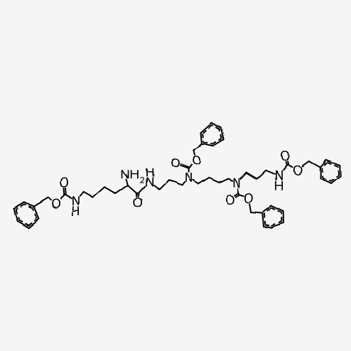 NC(CCCCNC(=O)OCc1ccccc1)C(=O)NCCCN(CCCCN(CCCNC(=O)OCc1ccccc1)C(=O)OCc1ccccc1)C(=O)OCc1ccccc1